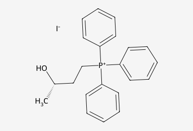 C[C@H](O)CC[P+](c1ccccc1)(c1ccccc1)c1ccccc1.[I-]